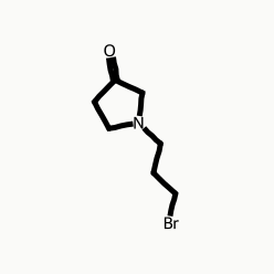 O=C1CCN(CCCBr)C1